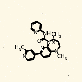 Cc1cc(-c2ccc3c(n2)N(C(=O)Nc2ccccn2)[C@H](C)CCN3C)ccn1